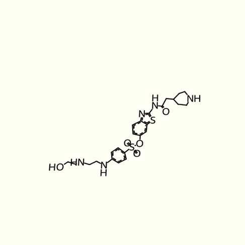 O=C(CC1CCNCC1)Nc1nc2ccc(OS(=O)(=O)c3ccc(NCCNCCO)cc3)cc2s1